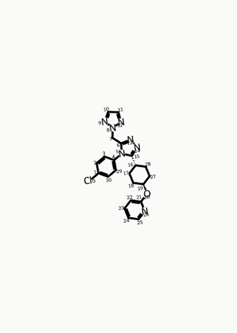 Clc1ccc(-n2c(Cn3nccn3)nnc2[C@H]2CC[C@H](Oc3ccccn3)CC2)cc1